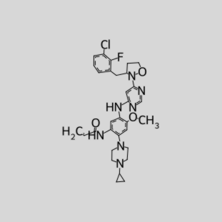 C=CC(=O)Nc1cc(Nc2cc(N3OCCC3Cc3cccc(Cl)c3F)ncn2)c(OC)cc1N1CCN(C2CC2)CC1